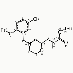 CCOc1ccc(Cl)cc1CN1CCOC(CNC(=O)OC(C)(C)C)C1